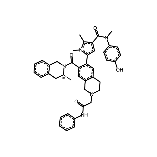 Cc1c(C(=O)N(C)c2ccc(O)cc2)cc(-c2cc3c(cc2C(=O)N2Cc4ccccc4C[C@H]2C)CN(CC(=O)Nc2ccccc2)CC3)n1C